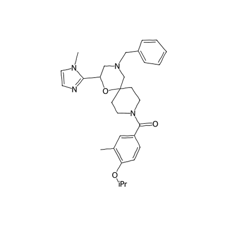 Cc1cc(C(=O)N2CCC3(CC2)CN(Cc2ccccc2)CC(c2nccn2C)O3)ccc1OC(C)C